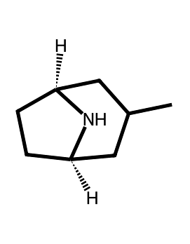 CC1C[C@H]2CC[C@@H](C1)N2